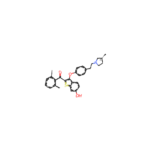 Cc1cccc(C)c1C(=O)c1sc2cc(O)ccc2c1Oc1ccc(CCN2CC[C@H](C)C2)cc1